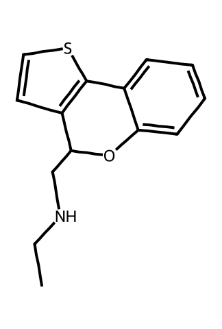 CCNCC1Oc2ccccc2-c2sccc21